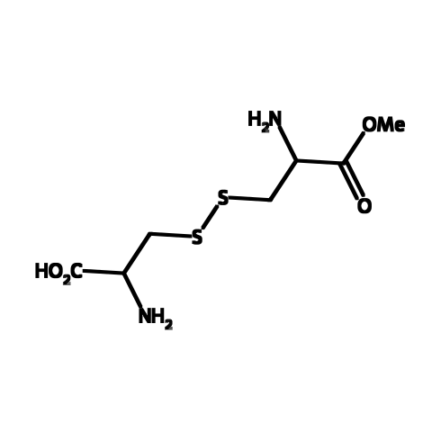 COC(=O)C(N)CSSCC(N)C(=O)O